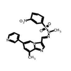 Cc1cc(-c2cccnc2)cn2c(C=NN(C)S(=O)(=O)c3cccc([N+](=O)[O-])c3)cnc12